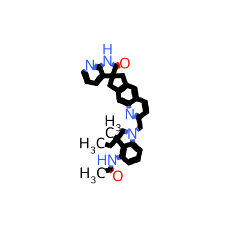 CCC1(C)CN(Cc2ccc3cc4c(cc3n2)CC2(C4)C(=O)Nc3ncccc32)c2cccc(NC(C)=O)c21